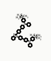 C[Si](C)(C)c1ccc(N(c2ccccc2)c2ccc(-c3ccc(-c4nc5ccccc5n4-c4ccc(-c5ccc(N(c6ccccc6)c6ccc([Si](C)(C)C)cc6)cc5)cc4)cc3)cc2)cc1